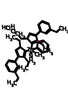 CCC1=[C]([Zr]([CH3])(=[SiH2])([C]2=C(CC)C(c3cccc(CC)c3)=CC2CC)[c]2ccccc2)C(CC)C=C1c1cccc(CC)c1.Cl.Cl